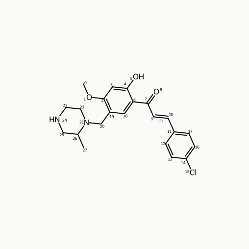 COc1cc(O)c(C(=O)/C=C/c2ccc(Cl)cc2)cc1CN1CCNCC1C